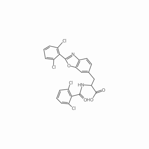 O=C(NC(Cc1ccc2nc(-c3c(Cl)cccc3Cl)oc2c1)C(=O)O)c1c(Cl)cccc1Cl